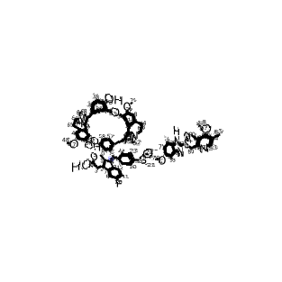 CC1=C(CC(=O)O)c2cc(F)ccc2/C1=C\c1ccc([S+](C)[O-])cc1.COc1cc2c3cc1Oc1cc(ccc1O)C[C@@H]1c4c(cc(OC)c(O)c4Oc4ccc(cc4)C[C@@H]3N(C)CC2)CC[N+]1(C)C.COc1ccc2[nH]c([S+]([O-])Cc3ncc(C)c(OC)c3C)nc2c1